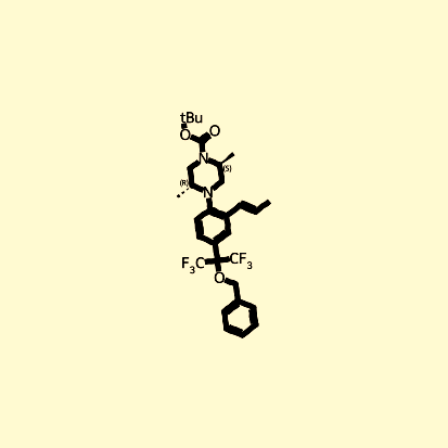 CC=Cc1cc(C(OCc2ccccc2)(C(F)(F)F)C(F)(F)F)ccc1N1C[C@H](C)N(C(=O)OC(C)(C)C)C[C@H]1C